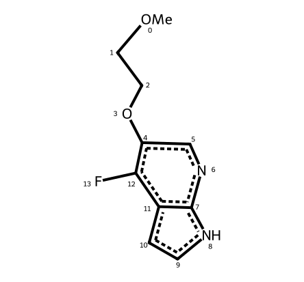 COCCOc1cnc2[nH]ccc2c1F